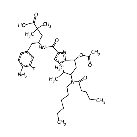 CCCCCCN(C(=O)CCCC)C(CC(OC(C)=O)c1nc(C(=O)N[C@@H](Cc2ccc(N)c(F)c2)CC(C)(C)C(=O)O)cs1)C(C)C